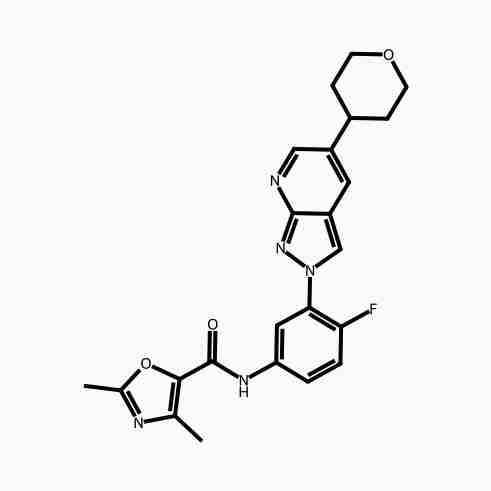 Cc1nc(C)c(C(=O)Nc2ccc(F)c(-n3cc4cc(C5CCOCC5)cnc4n3)c2)o1